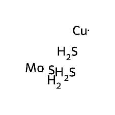 S.S.S.[Cu].[Mo]